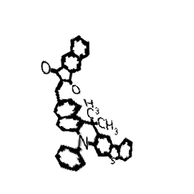 CC1(C)c2cc3c(cc2N(c2ccccc2)c2ccc4cc(C=C5C(=O)c6cc7ccccc7cc6C5=O)ccc4c21)sc1ccccc13